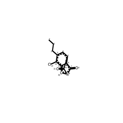 CCCc1cc2c3c(=O)n(oc3c1Cl)C2=O